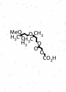 COC(C)(C)CCOC(C)(C)CCOC(=O)COCC(=O)O